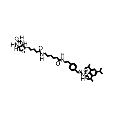 CC(C)c1cc(C(C)C)c(S(=O)(=O)N/N=C/c2ccc(CCNC(=O)CCCCCNC(=O)CCCC[C@@H]3SC[C@@H]4NC(=O)N[C@@H]43)cc2)c(C(C)C)c1